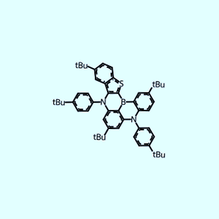 CC(C)(C)c1ccc(N2c3ccc(C(C)(C)C)cc3B3c4sc5ccc(C(C)(C)C)cc5c4N(c4ccc(C(C)(C)C)cc4)c4cc(C(C)(C)C)cc2c43)cc1